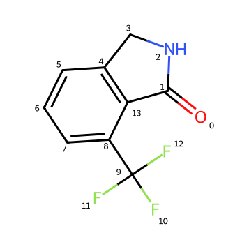 O=C1NCc2cccc(C(F)(F)F)c21